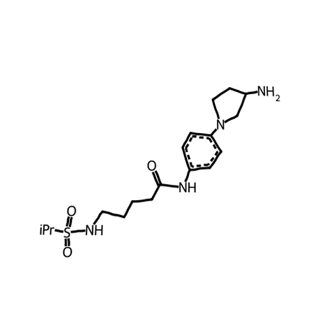 CC(C)S(=O)(=O)NCCCCC(=O)Nc1ccc(N2CCC(N)C2)cc1